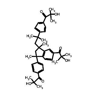 CC(C)(O)C(=O)c1ccc(C(C)(C)CC2(C)CC(C)(c3ccc(C(=O)C(C)(C)O)cc3)c3ccc(C(=O)C(C)(C)O)cc32)cc1